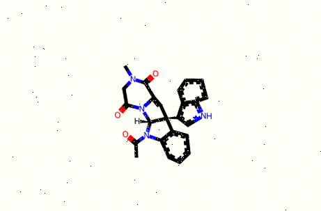 CC(=O)N1c2ccccc2[C@@]2(c3c[nH]c4ccccc34)C=C3C(=O)N(C)CC(=O)N3[C@@H]12